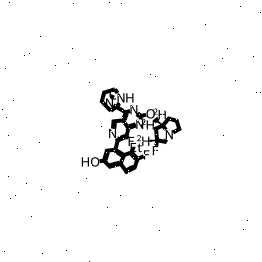 [2H]C([2H])(Oc1nc(N2CC3CCC2CN3)c2cnc(-c3cc(O)cc4ccc(F)c(CC)c34)c(F)c2n1)[C@@]12CCCN1C[C@]([2H])(F)C2